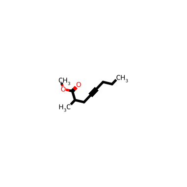 CCCC#CCC(C)C(=O)OC